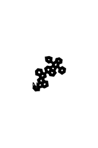 c1ccc(-c2c3c(c(-c4ccccc4)c4ccccc24)-c2ccc(-c4cc5c6cccc7c6c(cc5c5ccccc45)-c4ncccc4-7)c4cccc-3c24)cc1